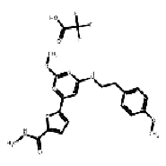 CNC(=O)c1ccc(-c2cc(NCCc3ccc(OC)cc3)nc(OC)n2)s1.O=C(O)C(F)(F)F